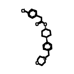 O=C(Cc1ccc(Cl)cc1)O[C@H]1CC[C@H](c2ccc(CN3CCOCC3)cc2)CC1